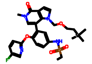 CCS(=O)(=O)Nc1ccc(Oc2ccc(F)cn2)c(-c2cn(C)c(=O)c3ccn(COCC[Si](C)(C)C)c23)c1